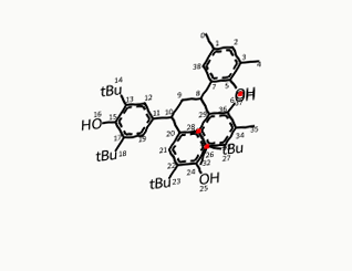 Cc1cc(C)c(O)c(C(CC(c2cc(C(C)(C)C)c(O)c(C(C)(C)C)c2)c2cc(C(C)(C)C)c(O)c(C(C)(C)C)c2)c2cc(C)cc(C)c2O)c1